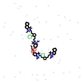 CCCC(Oc1ccc2c(c1)C(C)(C)C(C=CC1=C(Cl)C(=CC=C3N(CC)c4ccc5ccccc5c4C3(C)C)CC1)=[N+]2CC)Oc1ccc2c(c1)C(C)(C)C(C=CC1=C(Cl)C(=CC=C3N(CC)c4ccc5ccccc5c4C3(C)C)CC1)=[N+]2CC